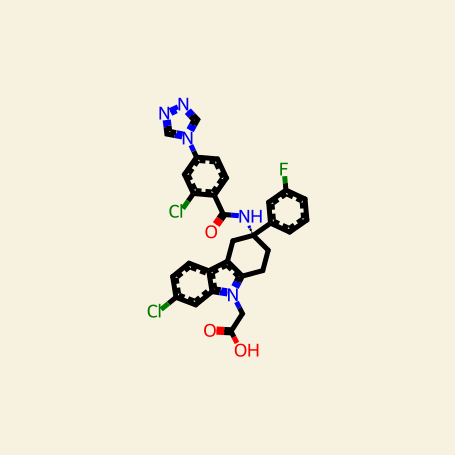 O=C(O)Cn1c2c(c3ccc(Cl)cc31)C[C@@](NC(=O)c1ccc(-n3cnnc3)cc1Cl)(c1cccc(F)c1)CC2